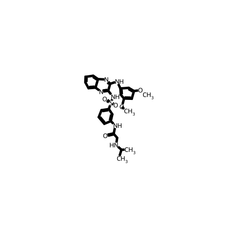 COc1cc(Nc2nc3ccccc3nc2NS(=O)(=O)c2cccc(NC(=O)CNC(C)C)c2)cc(OC)c1